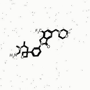 CC(CC1(c2cccc(N3Cc4c(cc(CN5CCO[C@@H](C)C5)cc4C(F)(F)F)C3=O)c2)COC1)N(C)CN